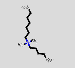 CCCCCCCCCCCCCCCC[N+](C)(C)CCCCS(=O)(=O)O